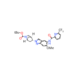 COc1cc2nn([C@@H]3C[C@@H]4C[C@H]3CN4C(=O)OC(C)(C)C)cc2cc1NC(=O)c1cccc(C(F)(F)F)n1